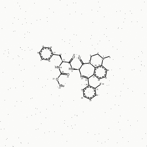 CN1CCN2C(=O)[C@H](NC(=O)[C@H](Cc3ccccc3)NC(=O)OC(C)(C)C)N=C(c3ccccc3F)c3cccc1c32